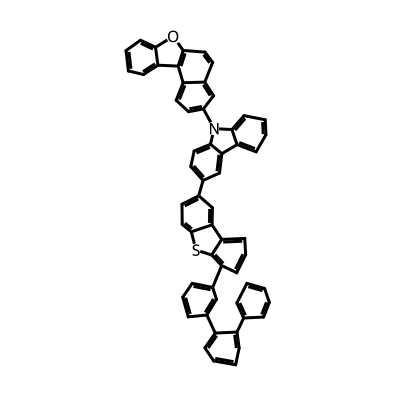 c1ccc(-c2ccccc2-c2cccc(-c3cccc4c3sc3ccc(-c5ccc6c(c5)c5ccccc5n6-c5ccc6c(ccc7oc8ccccc8c76)c5)cc34)c2)cc1